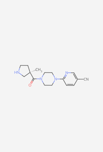 C[C@@]1(C(=O)N2CCN(c3ccc(C#N)cn3)CC2)CCNC1